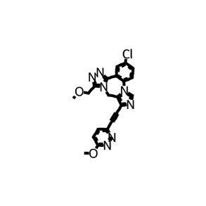 COCc1nnc2n1Cc1c(C#Cc3ccc(OC)nn3)ncn1-c1ccc(Cl)cc1-2